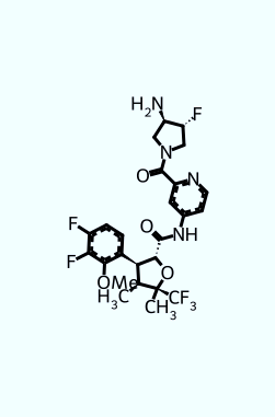 COc1c([C@H]2[C@H](C(=O)Nc3ccnc(C(=O)N4C[C@@H](N)[C@H](F)C4)c3)O[C@@](C)(C(F)(F)F)[C@H]2C)ccc(F)c1F